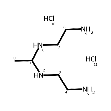 CC(NCCN)NCCN.Cl.Cl